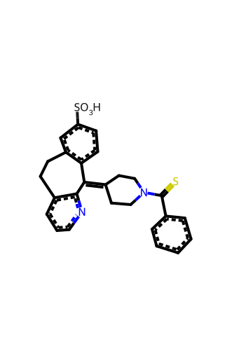 O=S(=O)(O)c1ccc2c(c1)CCc1cccnc1C2=C1CCN(C(=S)c2ccccc2)CC1